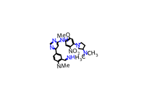 CNc1ccc(-c2cc(Nc3cc([N+](=O)[O-])c(N4CCC(N(C)C)C4)cc3OC)ncn2)cc1C=N